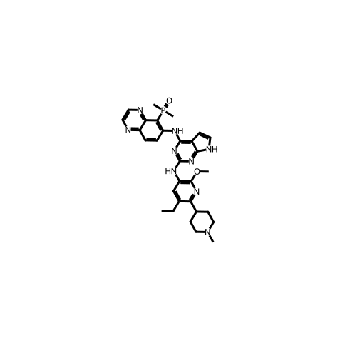 CCc1cc(Nc2nc(Nc3ccc4nccnc4c3P(C)(C)=O)c3cc[nH]c3n2)c(OC)nc1C1CCN(C)CC1